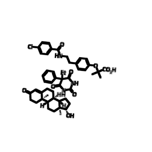 CC(C)(Oc1ccc(CCNC(=O)c2ccc(Cl)cc2)cc1)C(=O)O.CCC1(c2ccccc2)C(=O)NC(=O)NC1=O.C[C@]12CC[C@H]3[C@@H](CCC4=CC(=O)CC[C@@]43C)[C@@H]1CC[C@@H]2O